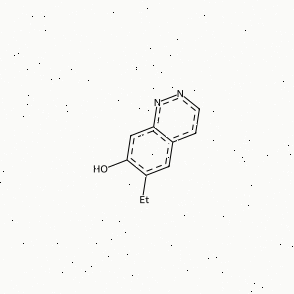 CCc1cc2ccnnc2cc1O